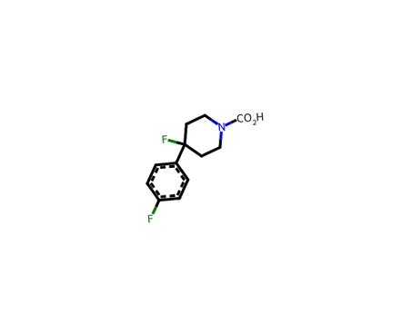 O=C(O)N1CCC(F)(c2ccc(F)cc2)CC1